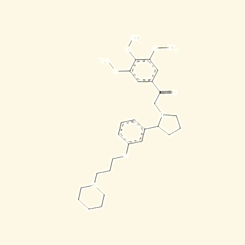 COc1cc(C(=O)CN2CCCC2c2cccc(OCCCN3CCCCC3)c2)cc(OC)c1OC